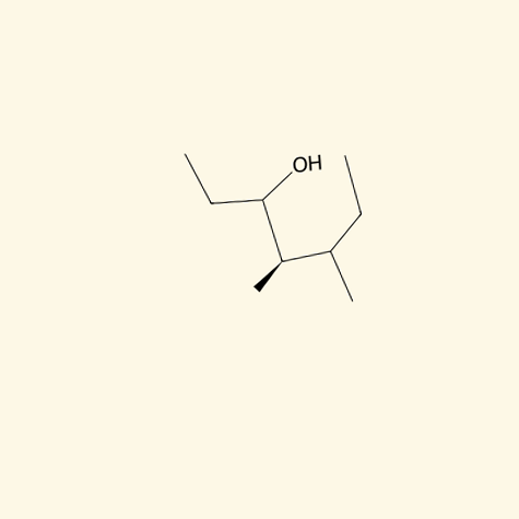 CCC(C)[C@@H](C)C(O)CC